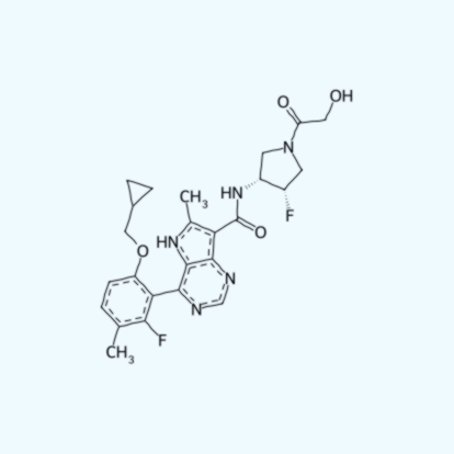 Cc1ccc(OCC2CC2)c(-c2ncnc3c(C(=O)N[C@@H]4CN(C(=O)CO)C[C@@H]4F)c(C)[nH]c23)c1F